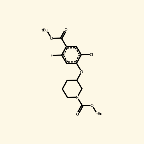 CC(C)(C)OC(=O)c1cc(Cl)c(OC2CCCN(C(=O)OC(C)(C)C)C2)cc1F